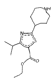 CCOC(=O)c1sc(C2CCNCC2)nc1C(C)C